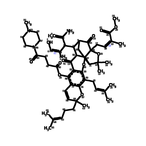 C=C(N)C(/C(N)=N\O)C1C2CC3C(C)(C)OC(C/C=C(/C)C(=O)OC)(C2=O)C32Oc3c(CC=C(C)C)c4c(c(OC(=O)CCC(=O)N5CCN(C)CC5)c3C(=O)C12)C=CC(C)(CCC=C(C)C)O4